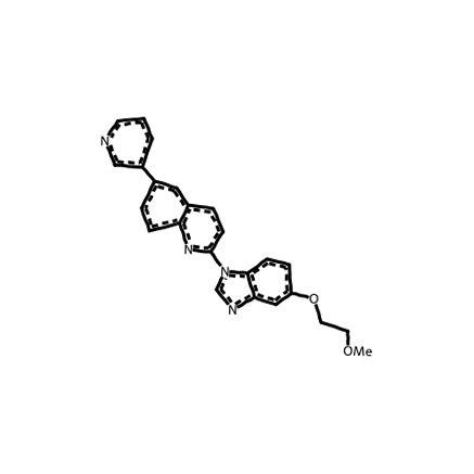 COCCOc1ccc2c(c1)ncn2-c1ccc2cc(-c3cccnc3)ccc2n1